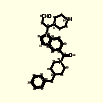 O=CCC(N1CCNCC1)n1ccc2cc(C(=O)N3CCC(Cc4ccccc4)CC3)ccc21